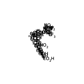 CC1COc2ccccc2N1C(=O)C(Cl)Cl.CCc1cccc(C)c1N(C(=O)CCl)C(C)COC.CS(=O)(=O)c1ccc(C(=O)C2C(=O)CCCC2=O)c([N+](=O)[O-])c1.C[S+](C)C.Nc1c([N+](=O)[O-])cnn1-c1c(Cl)cc(C(F)(F)F)cc1Cl.O=C(O)CNCP(=O)([O-])O